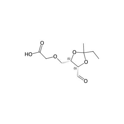 CCC1(C)O[C@@H](COCC(=O)O)[C@@H](C=O)O1